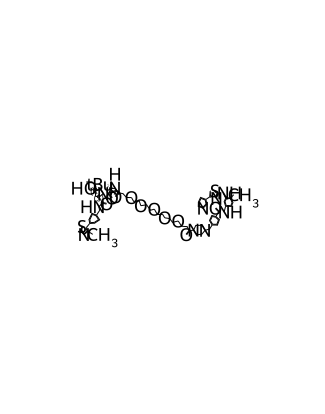 Cc1ccc(NC(=O)c2ccc(CN3CCN(C(=O)CCOCCOCCOCCOCCOCCC(=O)N[C@H](C(=O)N4C[C@H](O)C[C@H]4C(=O)NCc4ccc(-c5scnc5C)cc4)C(C)(C)C)CC3)cc2)cc1Nc1nc(-c2cccnc2)cs1